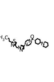 CCCc1nc(Cn2cc(N3CCN(C(=O)[C@H]4CC[C@H](N5CCCCC5)CC4)CC3)cn2)cs1